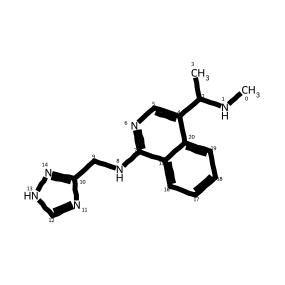 CNC(C)c1cnc(NCc2nc[nH]n2)c2ccccc12